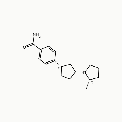 C[C@H]1CCCN1C1CC[C@H](c2ccc(C(N)=O)cc2)C1